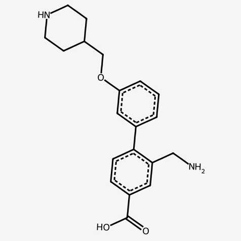 NCc1cc(C(=O)O)ccc1-c1cccc(OCC2CCNCC2)c1